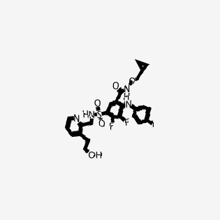 O=C(NOCC1CC1)c1cc(S(=O)(=O)NCc2ncccc2CCO)c(F)c(F)c1Nc1ccc(I)cc1